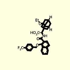 CCOC12C[C@H]3C[C@@H](C1)CC([C@H](NC(=O)c1ccc4ccccc4c1OCc1ccc(C(F)(F)F)cc1)C(=O)O)(C3)C2